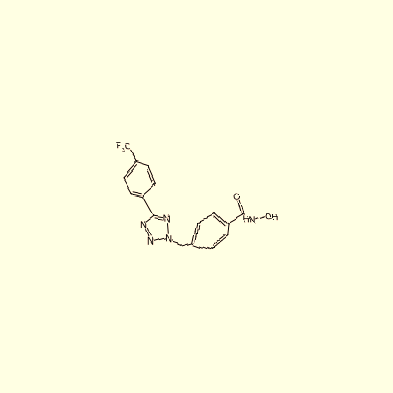 O=C(NO)c1ccc(Cn2nnc(-c3ccc(C(F)(F)F)cc3)n2)cc1